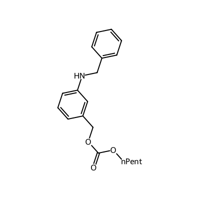 CCCCCOC(=O)OCc1cccc(NCc2ccccc2)c1